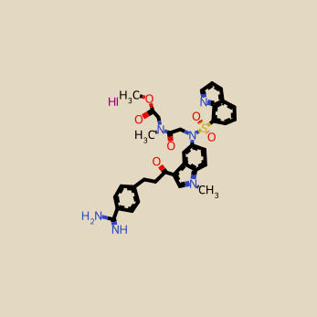 COC(=O)CN(C)C(=O)CN(c1ccc2c(c1)c(C(=O)CCc1ccc(C(=N)N)cc1)cn2C)S(=O)(=O)c1cccc2cccnc12.I